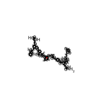 Cc1c(-c2ccc(N3CCc4c(OCCCP(=O)(O)O)ccc(CNc5nc6ccccc6s5)c4C3)nc2C(=O)O)cnn1CC12CC3(C)CC(C)(C1)CC(OCCN(C)C(=O)OCc1ccc(NC(=O)[C@H](CCCNC(N)=O)NC(=O)[C@@H](NC(=O)CCCCCN4C(=O)C=CC4=O)C(C)C)cc1)(C3)C2